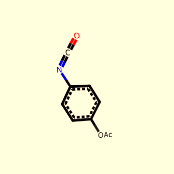 CC(=O)Oc1ccc(N=C=O)cc1